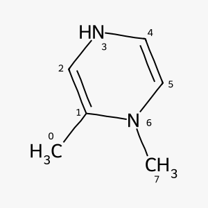 CC1=CNC=CN1C